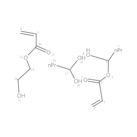 C=CC(=O)OC(O)CCC.C=CC(=O)OCCO.CCCC(O)O